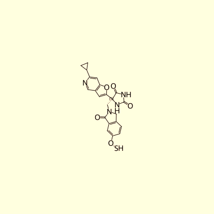 O=C1NC(=O)[C@](CN2Cc3ccc(OS)cc3C2=O)(c2cc3cnc(C4CC4)cc3o2)N1